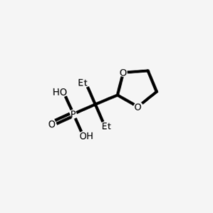 CCC(CC)(C1OCCO1)P(=O)(O)O